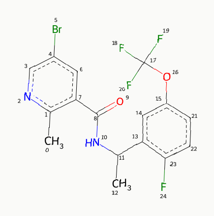 Cc1ncc(Br)cc1C(=O)NC(C)c1cc(OC(F)(F)F)ccc1F